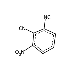 [C-]#[N+]c1cccc([N+](=O)[O-])c1[N+]#[C-]